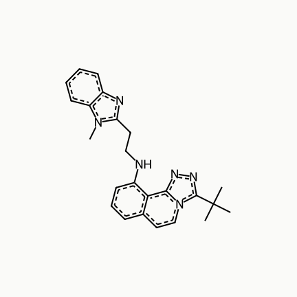 Cn1c(CCNc2cccc3ccn4c(C(C)(C)C)nnc4c23)nc2ccccc21